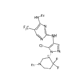 CCNc1nc(Nc2cnn([C@H]3CN(CC)CCC3(F)F)c2Cl)ncc1C(F)(F)F